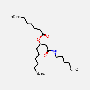 CCCCCCCCCCCCCCCC(=O)OC(CCCCCCCCCCCCCCC)CC(=O)NCCCC[C]=O